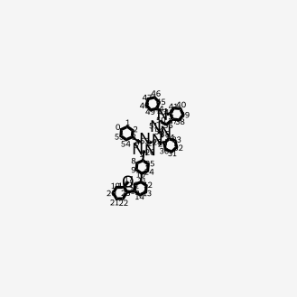 c1ccc(-c2nc(-c3ccc(-c4cccc5c4oc4ccccc45)cc3)nc(-n3c4ccccc4n4c5c6ccccc6n(-c6ccccc6)c5nc34)n2)cc1